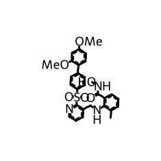 COc1ccc(-c2ccc(S(=O)(=O)c3ncccc3CNc3c(C)cccc3C(=O)NO)cc2)c(OC)c1